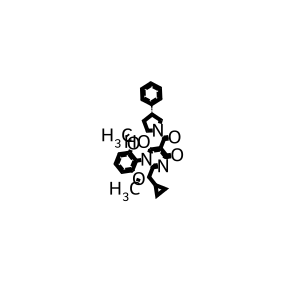 COc1cccc(OC)c1-n1c(CC2CC2)nc(=O)c(C(=O)N2CC[C@H](c3ccccc3)C2)c1O